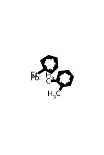 CCc1ccccc1.Cc1ccccc1C.[Pb]